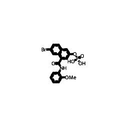 COc1ccccc1NC(=O)c1cc(OP(=O)(O)O)cc2ccc(Br)cc12